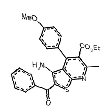 CCOC(=O)c1c(C)nc2sc(C(=O)c3ccccc3)c(N)c2c1-c1ccc(OC)cc1